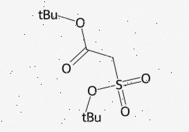 CC(C)(C)OC(=O)CS(=O)(=O)OC(C)(C)C